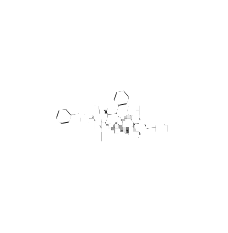 CC[C@H](C)[C@H](NC(=O)OCc1ccccc1)C(=O)C(c1ccccc1)[C@H](N)[C@@H](O)C(=O)NCC(C)C